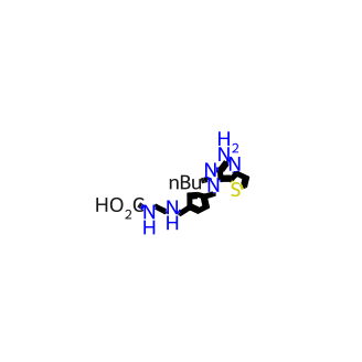 CCCCc1nc2c(N)nc3ccsc3c2n1Cc1ccc(CNCCNC(=O)O)cc1